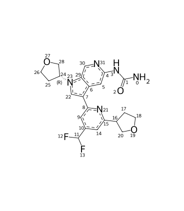 NC(=O)Nc1cc2c(-c3cc(C(F)F)cc(C4CCOC4)n3)cn([C@@H]3CCOC3)c2cn1